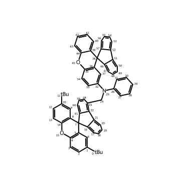 CC(C)(C)c1ccc2c(c1)C1(c3cc(C(C)(C)C)ccc3O2)c2ccccc2-c2c(CN(c3ccccc3)c3ccc4c(c3)C3(c5ccccc5O4)c4ccccc4-c4ccccc43)cccc21